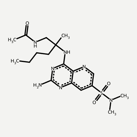 CCCCC(C)(CNC(C)=O)Nc1nc(N)nc2cc(S(=O)(=O)N(C)C)cnc12